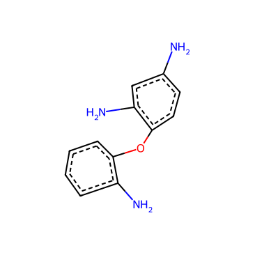 Nc1ccc(Oc2ccccc2N)c(N)c1